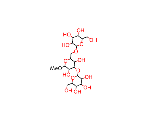 COC1OC(COC2OC(CO)C(O)C(O)C2O)C(O)C(OC2OC(CO)C(O)C(O)C2O)C1O